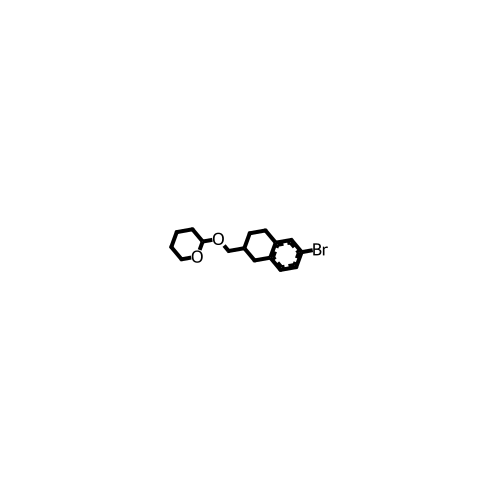 Brc1ccc2c(c1)CCC(COC1CCCCO1)C2